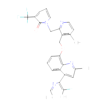 C/C=N\C(=C(/C)F)c1cc(C)nc2c(OCc3c(C)ccnc3Cn3cccc(C(F)(F)F)c3=O)cccc12